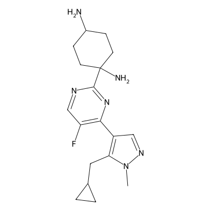 Cn1ncc(-c2nc(C3(N)CCC(N)CC3)ncc2F)c1CC1CC1